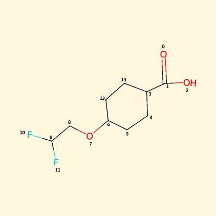 O=C(O)C1CCC(OCC(F)F)CC1